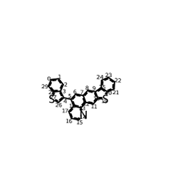 c1ccc2c(-c3cc4cc5c(cc4c4ncccc34)sc3ccccc35)csc2c1